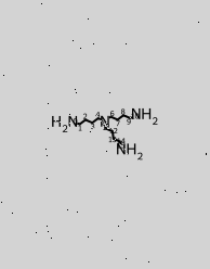 NCCCCN(CCCCN)CCCCN